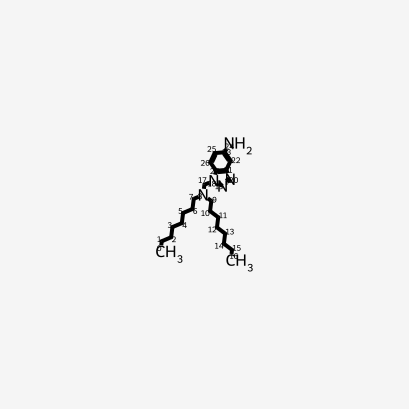 CCCCCCCCN(CCCCCCCC)Cn1nnc2cc(N)ccc21